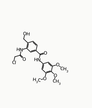 COc1cc(NC(=O)c2ccc(CO)c(NC(=O)CCl)c2)cc(OC)c1OC